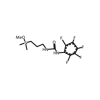 CO[Si](C)(C)CCCNC(=O)Nc1c(F)c(F)c(F)c(F)c1F